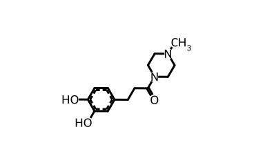 CN1CCN(C(=O)CCc2ccc(O)c(O)c2)CC1